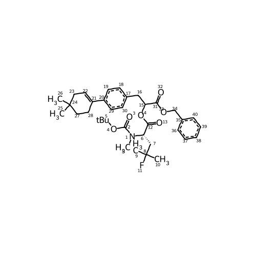 CN(C(=O)OC(C)(C)C)[C@@H](CC(C)(C)F)C(=O)OC(Cc1ccc(C2=CCC(C)(C)CC2)cc1)C(=O)OCc1ccccc1